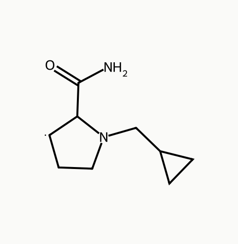 NC(=O)C1[CH]CCN1CC1CC1